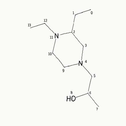 CCC1CN(CC(C)O)CCN1CC